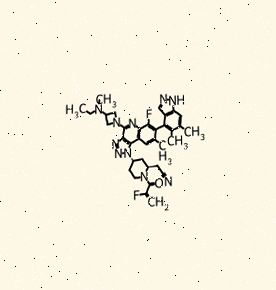 C=C(F)C(=O)N1CC[C@H](n2nnc3c(N4CC(N(C)CC)C4)nc4c(F)c(-c5c(C)c(C)cc6[nH]ncc56)c(C)cc4c32)C[C@H]1CC#N